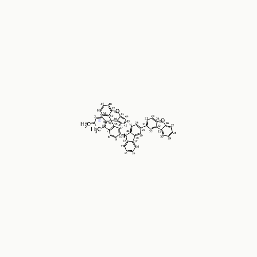 C=C/C=C\C1=C(C)c2ccc(-n3c4ccccc4c4cc(-c5ccc6oc7ccccc7c6c5)ccc43)cc2C12c1ccccc1Oc1ccccc12